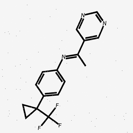 C/C(=N\c1ccc(C2(C(F)(F)F)CC2)cc1)c1cncnc1